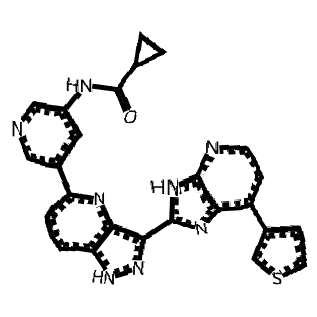 O=C(Nc1cncc(-c2ccc3[nH]nc(-c4nc5c(-c6ccsc6)ccnc5[nH]4)c3n2)c1)C1CC1